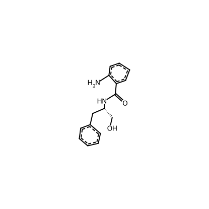 Nc1ccccc1C(=O)N[C@H](CO)Cc1ccccc1